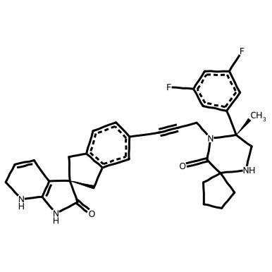 C[C@@]1(c2cc(F)cc(F)c2)CNC2(CCCC2)C(=O)N1CC#Cc1ccc2c(c1)C[C@@]1(C2)C(=O)NC2=C1C=CCN2